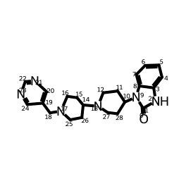 O=c1[nH]c2ccccc2n1C1CCN(C2CCN(Cc3cncnc3)CC2)CC1